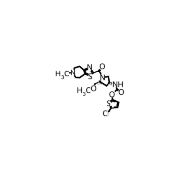 COC[C@@H]1C[C@@H](NC(=O)Oc2ccc(Cl)s2)CN1C(=O)c1nc2c(s1)CCN(C)CC2